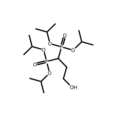 CC(C)OP(=O)(OC(C)C)C(CCO)P(=O)(OC(C)C)OC(C)C